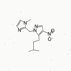 CC(C)CCc1c([N+](=O)[O-])cnn1Cc1nccn1C